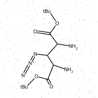 CC(C)(C)OC(=O)C(N)C(N=[N+]=[N-])C(N)C(=O)OC(C)(C)C